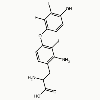 Nc1c(CC(N)C(=O)O)ccc(Oc2ccc(O)c(I)c2I)c1I